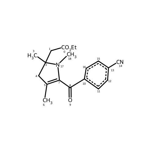 CCOC(=O)CC1(C)CC(C)=C(C(=O)c2ccc(C#N)cc2)N1C